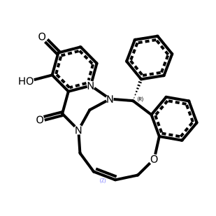 O=C1c2c(O)c(=O)ccn2N2CN1C/C=C\COc1ccccc1[C@H]2c1ccccc1